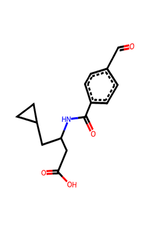 O=Cc1ccc(C(=O)NC(CC(=O)O)CC2CC2)cc1